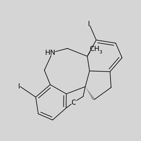 CC12CNCc3c(I)ccc4c3[C@]3(CCC(=CC=C1I)C23)CC4